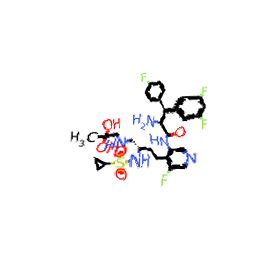 CC(O)(O)CNC[C@H](CCc1c(F)cncc1NC(=O)[C@@H](N)[C@@H](c1ccc(F)cc1)c1cc(F)cc(F)c1)NS(=O)(=O)C1CC1